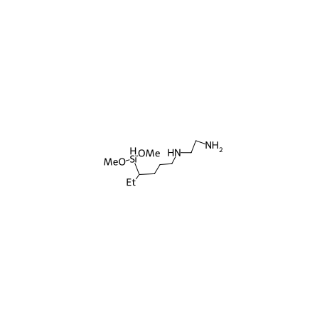 CCC(CCCNCCN)[SiH](OC)OC